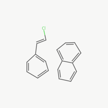 ClC=Cc1ccccc1.c1ccc2ccccc2c1